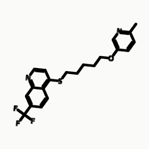 Cc1ccc(OCCCCCSc2ccnc3cc(C(F)(F)F)ccc23)cn1